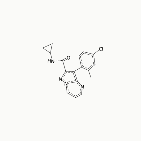 Cc1cc(Cl)ccc1-c1c(C(=O)NC2CC2)nn2cccnc12